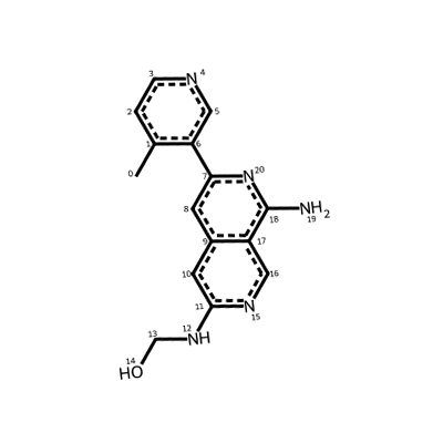 Cc1ccncc1-c1cc2cc(NCO)ncc2c(N)n1